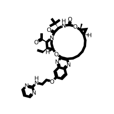 CC[C@@H]1[C@@H]2CN(C(=O)[C@H](C(C)(C)C)NC(=O)O[C@]3(C)C[C@H]3CCCCCc3nc4ccc(OCCNc5ncccn5)cc4nc3O2)[C@@H]1C(C)=O